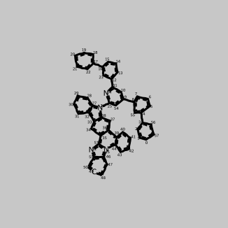 c1ccc(-c2cccc(-c3cc(-c4cccc(-c5ccccc5)c4)nc(-n4c5ccccc5c5cc6c(cc54)c4ccccc4n4c5ccccc5nc64)c3)c2)cc1